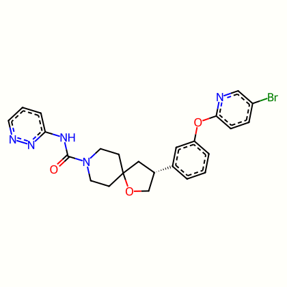 O=C(Nc1cccnn1)N1CCC2(CC1)C[C@H](c1cccc(Oc3ccc(Br)cn3)c1)CO2